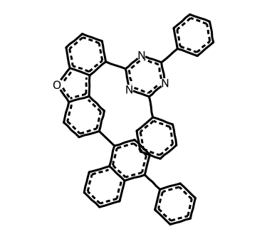 c1ccc(-c2nc(-c3ccccc3)nc(-c3cccc4oc5ccc(-c6ccc(-c7ccccc7)c7ccccc67)cc5c34)n2)cc1